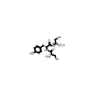 N[C@@H](CO)C(=O)N[C@@H](Cc1ccc(O)cc1)C(=O)N[C@@H](CO)C(=O)O